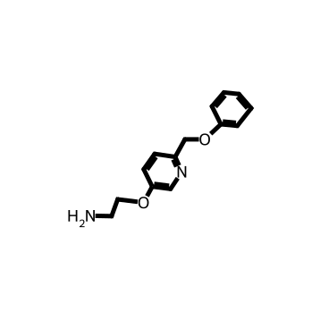 NCCOc1ccc(COc2ccccc2)nc1